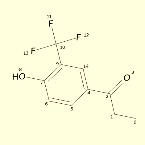 CCC(=O)c1ccc(O)c(C(F)(F)F)c1